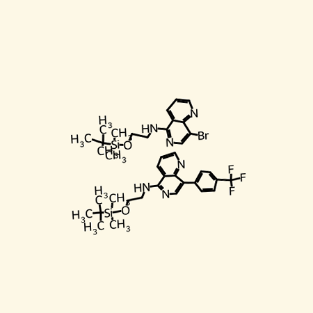 CC(C)(C)[Si](C)(C)OCCNc1ncc(-c2ccc(C(F)(F)F)cc2)c2ncccc12.CC(C)(C)[Si](C)(C)OCCNc1ncc(Br)c2ncccc12